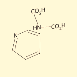 O=C(O)NC(=O)O.c1ccncc1